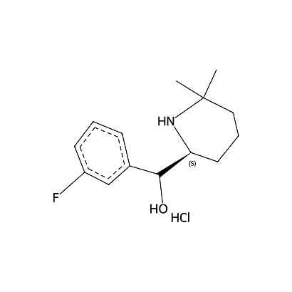 CC1(C)CCC[C@@H](C(O)c2cccc(F)c2)N1.Cl